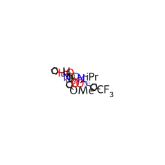 COc1ccc2c3c1OC1C(N(CC(C)C)C(=O)/C=C/c4ccc(C(F)(F)F)cc4)CC[C@@]4(O)[C@@H](C2)N(CCc2ccccc2)CC[C@]314